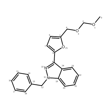 COCOCc1ccc(-c2nn(Cc3ccccc3)c3ccccc23)o1